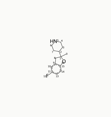 CC1(C2CCNCC2)Cc2cc(F)ccc2O1